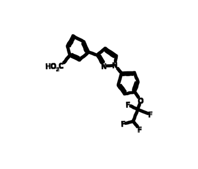 O=C(O)c1cccc(-c2ccn(-c3ccc(OC(F)(F)C(F)F)cc3)n2)c1